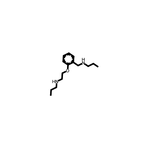 CCCNCCOc1ccccc1CNCCC